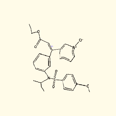 CCOC(=O)/C=C(\c1cccc(N(C(C)C)S(=O)(=O)c2ccc(OC)cc2)c1)c1ccc[n+]([O-])c1